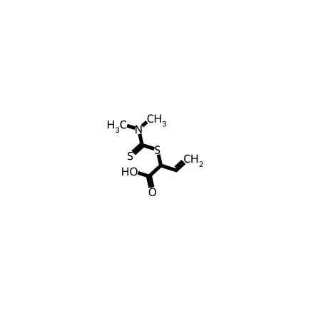 C=CC(SC(=S)N(C)C)C(=O)O